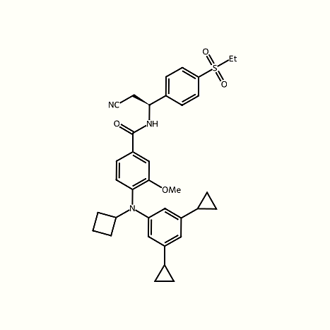 CCS(=O)(=O)c1ccc([C@H](CC#N)NC(=O)c2ccc(N(c3cc(C4CC4)cc(C4CC4)c3)C3CCC3)c(OC)c2)cc1